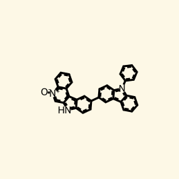 [O-][n+]1cc2[nH]c3ccc(-c4ccc5c(c4)c4ccccc4n5-c4ccccc4)cc3c2c2ccccc21